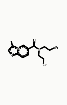 CC(C)CCN(CCC(C)C)C(=O)c1ccc2ncc(I)n2c1